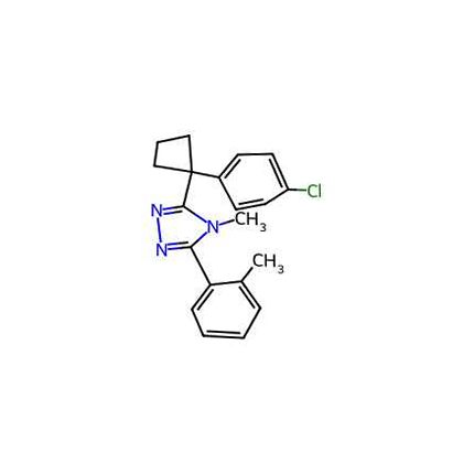 Cc1ccccc1-c1nnc(C2(c3ccc(Cl)cc3)CCC2)n1C